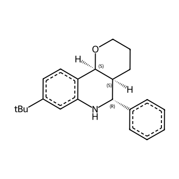 CC(C)(C)c1ccc2c(c1)N[C@@H](c1ccccc1)[C@@H]1CCCO[C@H]21